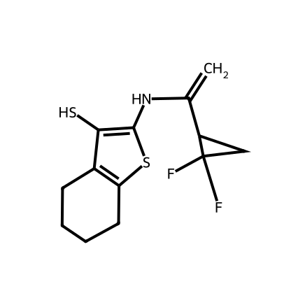 C=C(Nc1sc2c(c1S)CCCC2)C1CC1(F)F